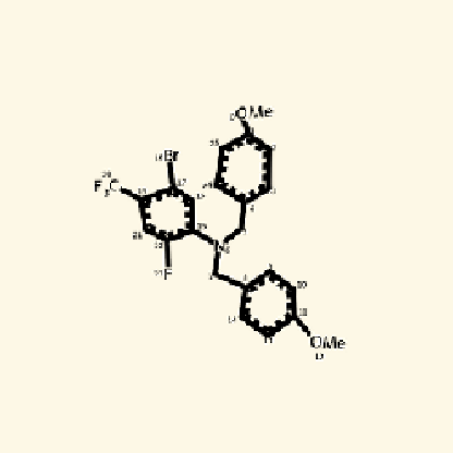 COc1ccc(CN(Cc2ccc(OC)cc2)c2cc(Br)c(C(F)(F)F)cc2F)cc1